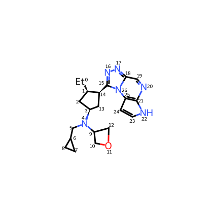 CC[C@@H]1C[C@H](N(CC2CC2)C2COC2)C[C@@H]1c1nnc2cnc3[nH]ccc3n12